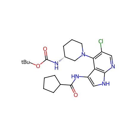 CC(C)(C)OC(=O)N[C@@H]1CCCN(c2c(Cl)cnc3[nH]cc(NC(=O)C4CCCC4)c23)C1